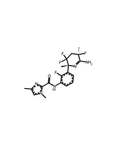 Cc1cn(C)c(C(=O)Nc2cccc([C@@]3(C)N=C(N)[C@](C)(F)CC3(F)F)c2F)n1